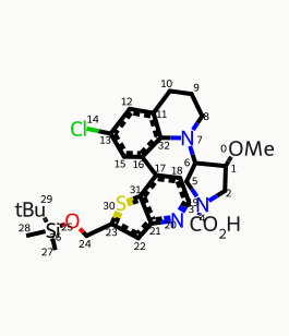 COC1CN(C(=O)O)CC1N1CCCc2cc(Cl)cc(-c3ccnc4cc(CO[Si](C)(C)C(C)(C)C)sc34)c21